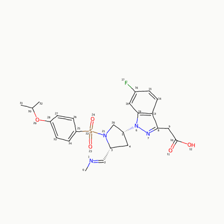 C/N=C/[C@H]1C[C@@H](n2nc(CC(=O)O)c3ccc(F)cc32)CN1S(=O)(=O)c1ccc(OC(C)C)cc1